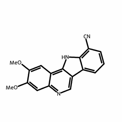 COc1cc2ncc3c4cccc(C#N)c4[nH]c3c2cc1OC